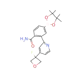 CC1(C)OB(c2ccc(C(N)=O)c(-c3cc(C4(F)COC4)ccn3)c2)OC1(C)C